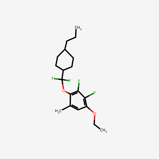 CCCC1CCC(C(F)(F)Oc2c(C)cc(OCC)c(F)c2F)CC1